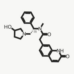 CN(C(=O)Cc1ccc2ccc(=O)[nH]c2c1)[C@H](CN1CCC(O)C1)c1ccccc1